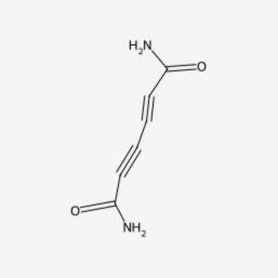 NC(=O)C#CC#CC(N)=O